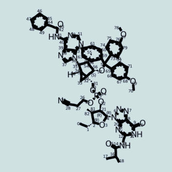 CC[C@H]1O[C@@H](n2nnc3c(=O)[nH]c(NC(=O)C(C)C)nc32)[C@H](OP(=O)(OCCC#N)OC[C@]23C[C@@H]2[C@@H](n2cnc4c(NC(=O)c5ccccc5)ncnc42)[C@H](C)[C@@H]3OC(c2ccccc2)(c2ccc(OC)cc2)c2ccc(OC)cc2)[C@@H]1C